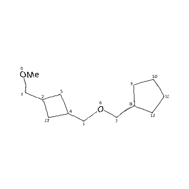 COCC1CC(COCC2CCCC2)C1